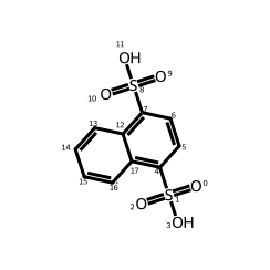 O=S(=O)(O)c1ccc(S(=O)(=O)O)c2ccc[c]c12